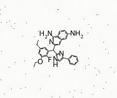 CCOc1cc(CC)cc(C(c2cc3cc(N)ccc3c(N)n2)c2nc(-c3ccccc3)c[nH]2)c1F